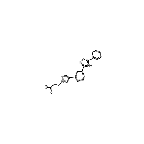 O=C(O)CCn1cc(-c2ccnc(-c3ncc(-c4ccccc4)[nH]3)c2)cn1